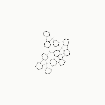 CC1(C)c2ccccc2-c2ccc(N(c3ccc4c(c3)C(c3ccccc3)(c3ccccc3)c3ccccc3-4)c3cc(C4(c5ccccc5)c5ccccc5-c5ccccc54)c4oc5ccccc5c4c3)cc21